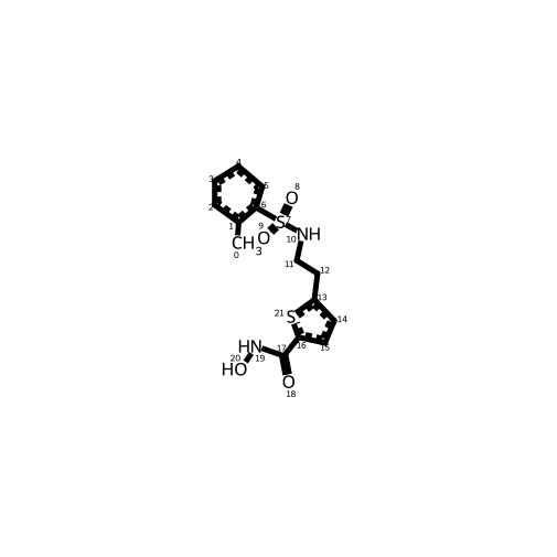 Cc1ccccc1S(=O)(=O)NCCc1ccc(C(=O)NO)s1